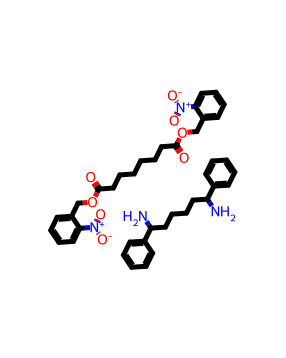 NC(CCCCC(N)c1ccccc1)c1ccccc1.O=C(CCCCCCC(=O)OCc1ccccc1[N+](=O)[O-])OCc1ccccc1[N+](=O)[O-]